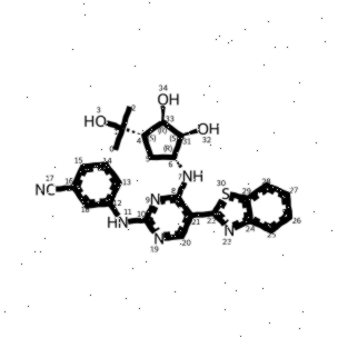 CC(C)(O)[C@H]1C[C@@H](Nc2nc(Nc3cccc(C#N)c3)ncc2-c2nc3ccccc3s2)[C@H](O)[C@@H]1O